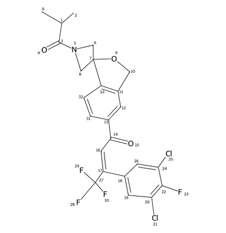 CC(C)C(=O)N1CC2(C1)OCc1cc(C(=O)/C=C(\c3cc(Cl)c(F)c(Cl)c3)C(F)(F)F)ccc12